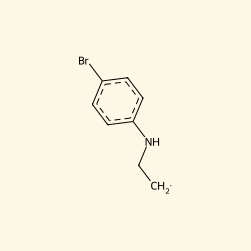 [CH2]CNc1ccc(Br)cc1